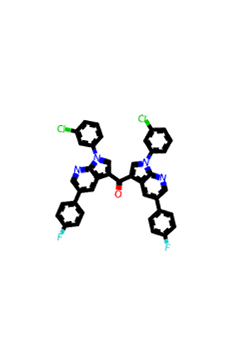 O=C(c1cn(-c2cccc(Cl)c2)c2ncc(-c3ccc(F)cc3)cc12)c1cn(-c2cccc(Cl)c2)c2ncc(-c3ccc(F)cc3)cc12